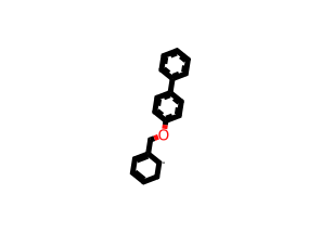 [CH]1CC=CC=C1COc1ccc(-c2ccccc2)cc1